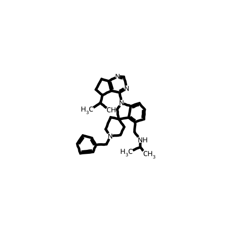 CC(C)NCc1cccc2c1C1(CCN(Cc3ccccc3)CC1)CN2c1ncnc2c1C(C(C)C)CC2